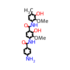 COc1c(NC(=O)c2ccc(NC(=O)c3ccc(N)cc3)c(OC)c2O)ccc(C)c1O